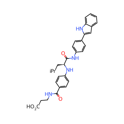 CC(C)C[C@H](Nc1ccc(C(=O)NCCC(=O)O)cc1)C(=O)Nc1ccc(-c2cc3ccccc3[nH]2)cc1